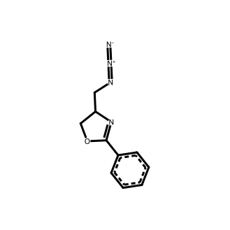 [N-]=[N+]=NCC1COC(c2ccccc2)=N1